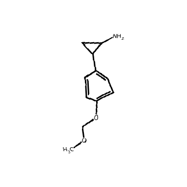 COCOc1ccc(C2CC2N)cc1